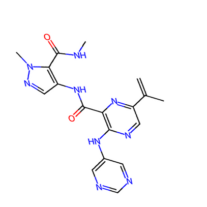 C=C(C)c1cnc(Nc2cncnc2)c(C(=O)Nc2cnn(C)c2C(=O)NC)n1